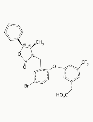 C[C@@H]1[C@H](c2ccccc2)OC(=O)N1Cc1cc(Br)ccc1Oc1cc(CC(=O)O)cc(C(F)(F)F)c1